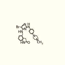 CN1CCN(c2ccc(Nc3ncc(Br)c(NCc4cccc5c4CC(=O)N5)n3)cc2)CC1